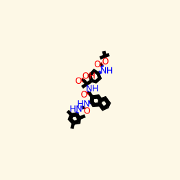 Cc1cc(C)c(NC(=O)Nc2cc3ccccc3cc2C(=O)NC(C)(C(=O)O)C2CCC(NC(=O)OC(C)(C)C)CC2)c(C)c1